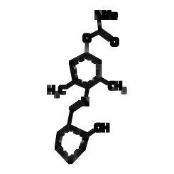 CNC(=O)Oc1cc(C)c(N=Cc2ccccc2O)c(C)c1